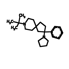 CC(C)(C)N1CCC2(CC1)CCC(c1ccccc1)(N1CCCC1)C2